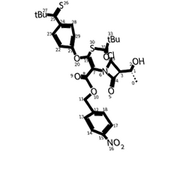 C[C@@H](O)[C@H]1C(=O)N(C(C(=O)OCc2ccc([N+](=O)[O-])cc2)=C(Oc2ccc(C(=S)C(C)(C)C)cc2)SC(=O)C(C)(C)C)[C@H]1Cl